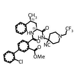 COC(=O)c1cc(-c2ccccc2Cl)ccc1C(=O)N[C@@H](C[C@H](C)c1ccccc1)C(=O)NC1(C#N)CCN(CC(F)(F)F)CC1